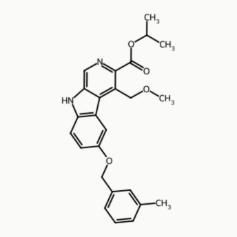 COCc1c(C(=O)OC(C)C)ncc2[nH]c3ccc(OCc4cccc(C)c4)cc3c12